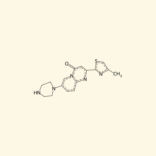 Cc1csc(-c2cc(=O)n3cc(N4CCNCC4)ccc3n2)n1